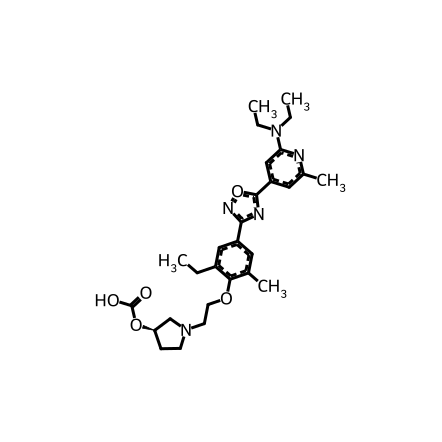 CCc1cc(-c2noc(-c3cc(C)nc(N(CC)CC)c3)n2)cc(C)c1OCCN1CC[C@@H](OC(=O)O)C1